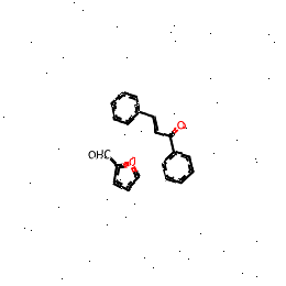 O=C(C=Cc1ccccc1)c1ccccc1.O=Cc1ccco1